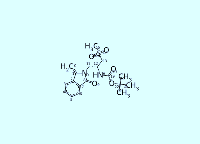 C=C1c2ccccc2C(=O)N1C[C@H](CS(C)(=O)=O)NC(=O)OC(C)(C)C